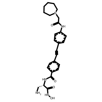 NC[C@H](NC(=O)c1ccc(C#Cc2ccc(NC(=O)CN3CCCCCC3)cc2)cc1)C(=O)NO